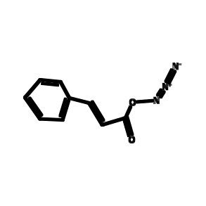 [N-]=[N+]=NOC(=O)C=Cc1ccccc1